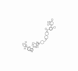 O=C1CCN(c2cc(C(=O)N3CCC4(CCN(CC5CCC(n6cc(NC(=O)c7cnn8ccc(N9C[C@H]%10C[C@@H]9CO%10)nc78)c(Cl)n6)CC5)CC4)CC3)ccc2Cl)C(=O)N1